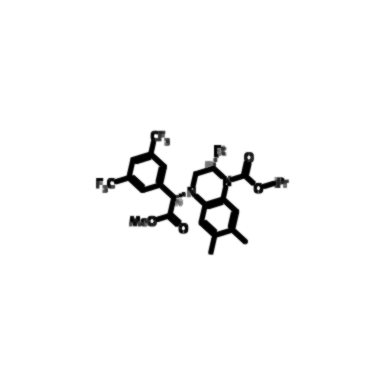 CC[C@H]1CN([C@H](C(=O)OC)c2cc(C(F)(F)F)cc(C(F)(F)F)c2)c2cc(C)c(C)cc2N1C(=O)OC(C)C